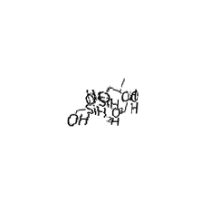 CC(O)CO.OCCO.OC[SiH2]O[SiH3]